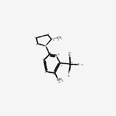 C[C@H]1CCCN1c1ccc(N)c(C(F)(F)F)n1